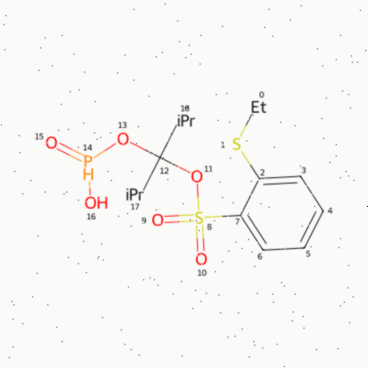 CCSc1ccccc1S(=O)(=O)OC(O[PH](=O)O)(C(C)C)C(C)C